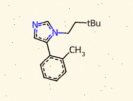 Cc1ccccc1-c1cncn1CCC(C)(C)C